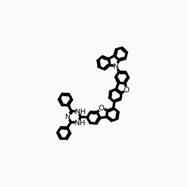 C1=c2oc3c(-c4ccc5c(c4)oc4ccc(-n6c7ccccc7c7ccccc76)cc45)cccc3c2=CCC1C1NC(c2ccccc2)=NC(c2ccccc2)N1